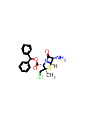 C[C@@]1(CCl)S[C@@H]2[C@H](N)C(=O)N2[C@H]1C(=O)OC(c1ccccc1)c1ccccc1